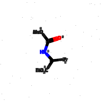 [CH2]OC(=O)NC(C(=O)OCC)C(C)C